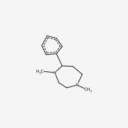 CN1CCC(c2ccccc2)N(C)CC1